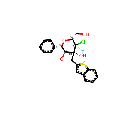 OC[C@H]1O[C@@H](c2ccccc2)[C@H](O)[C@](O)(Cc2cc3ccccc3s2)[C@]1(F)Cl